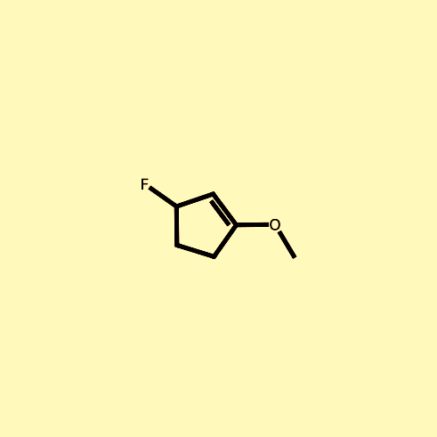 COC1=CC(F)CC1